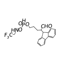 O=CC(CCCO[PH](=O)ONCC(F)(F)F)C1c2ccccc2-c2ccccc21